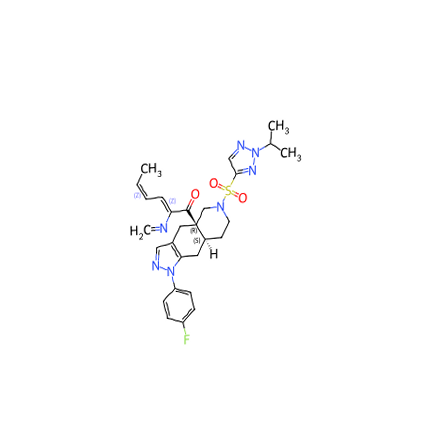 C=N/C(=C\C=C/C)C(=O)[C@]12Cc3cnn(-c4ccc(F)cc4)c3C[C@@H]1CCN(S(=O)(=O)c1cnn(C(C)C)n1)C2